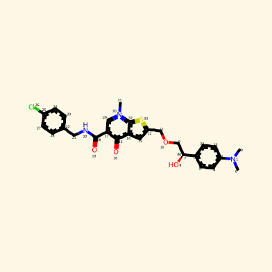 CN(C)c1ccc([C@@H](O)COCc2cc3c(=O)c(C(=O)NCc4ccc(Cl)cc4)cn(C)c3s2)cc1